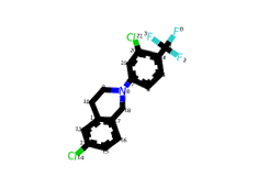 FC(F)(F)c1ccc(N2CCc3cc(Cl)ccc3C2)cc1Cl